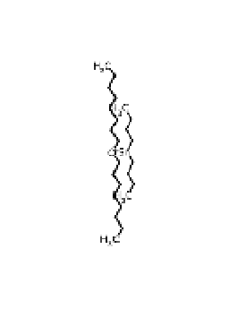 CCCCCCCCOCCCCCCCC.CCC[CH2][Sn][CH2]CCC